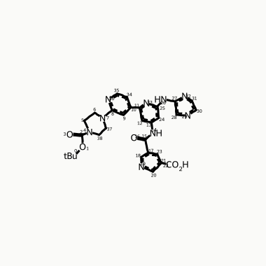 CC(C)(C)OC(=O)N1CCN(c2cc(-c3cc(NC(=O)c4cncc(C(=O)O)c4)cc(Nc4cnccn4)n3)ccn2)CC1